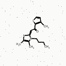 CCCCN1C(=CC(=O)c2sccc2C)SC(C)=C1C